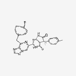 Cc1ccc([C@]2(C)C(=O)Nc3nc(-c4cn5ncnc5c(Cc5ccc(F)cc5)n4)[nH]c(=O)c32)cc1